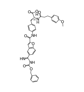 COc1ccc(CCC(=O)N[C@@H](Cc2ccc(NC(=O)c3cc4cc(C(=N)NC(=O)OCc5ccccc5)ccc4o3)cc2)C(=O)O)cc1